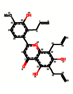 C=CCc1c(-c2cc(=O)c3c(O)c(CC=C)c(O)c(CC=C)c3o2)ccc(OC)c1O